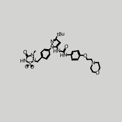 CN1C(=O)NS(=O)(=O)N1Cc1ccc(-n2nc(C(C)(C)C)cc2NC(=O)Nc2ccc(OCCN3CCOCC3)cc2)cc1